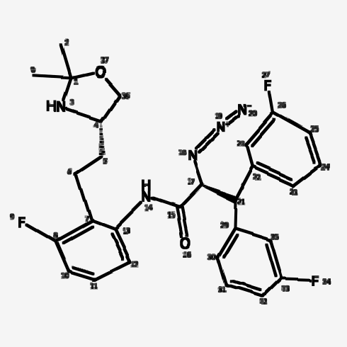 CC1(C)N[C@@H](CCc2c(F)cccc2NC(=O)[C@@H](N=[N+]=[N-])C(c2cccc(F)c2)c2cccc(F)c2)CO1